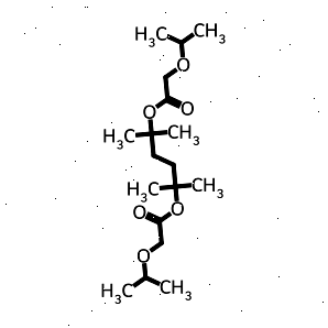 CC(C)OCC(=O)OC(C)(C)CCC(C)(C)OC(=O)COC(C)C